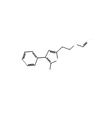 Cc1sc(CCOC=O)cc1-c1ccccc1